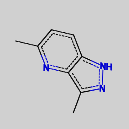 Cc1ccc2[nH]nc(C)c2n1